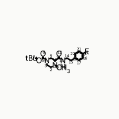 CN1CCN(C(=O)OC(C)(C)C)CC1C(=O)NCCc1ccc(F)cc1